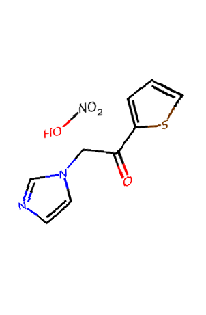 O=C(Cn1ccnc1)c1cccs1.O=[N+]([O-])O